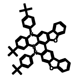 CC(C)(C)c1ccc(N2B3c4cc(C(C)(C)C)ccc4N(c4ccc(C(C)(C)C)cc4)c4cc5c(oc6ccccc65)c(c43)-c3cc4c(cc32)oc2ccccc24)cc1